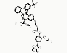 COC(=O)c1ccc(OC(=O)CCCc2ccc(NC(=O)c3ccccc3-c3ccc(C(F)(F)F)cc3)c(C(=O)N(C)C)c2)c(OC)c1